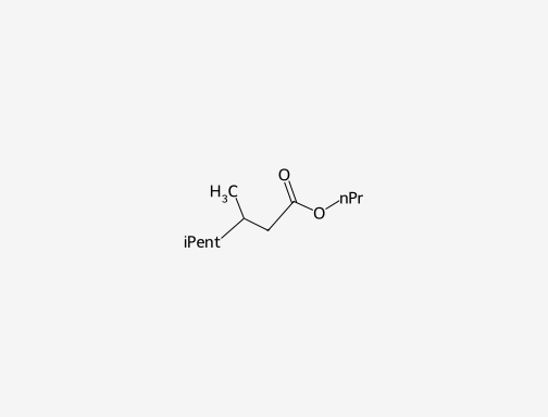 CCCOC(=O)CC(C)C(C)CCC